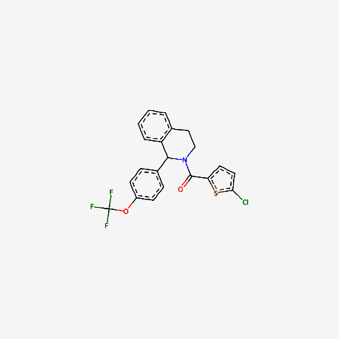 O=C(c1ccc(Cl)s1)N1CCc2ccccc2C1c1ccc(OC(F)(F)F)cc1